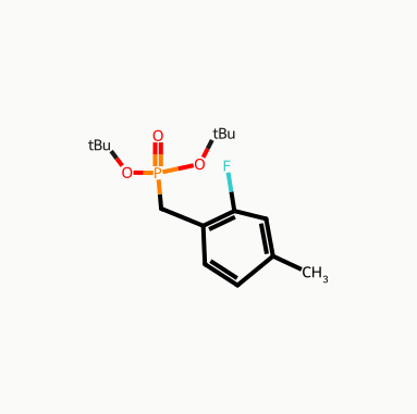 Cc1ccc(CP(=O)(OC(C)(C)C)OC(C)(C)C)c(F)c1